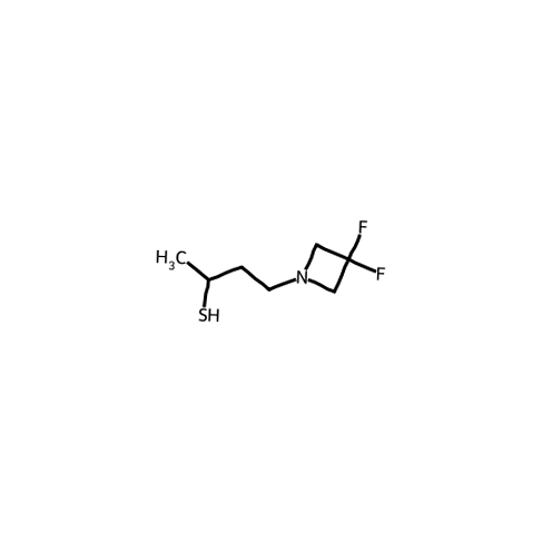 CC(S)CCN1CC(F)(F)C1